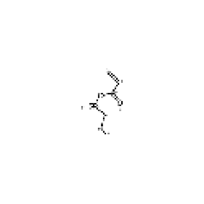 C=CC(=O)O[SiH](C)CCC